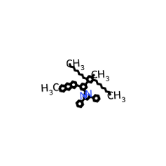 CCCCCCCCc1cc(-c2cc(-c3ccc4cc5cc(C)ccc5cc4c3)cc(-c3nc(-c4ccccc4)cc(-c4ccccc4)n3)c2)c(CCCCCCCC)cc1C